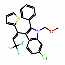 COCn1c(-c2ccccc2)c(/C(=C\C(F)(F)F)c2cccs2)c2ccc(Cl)cc21